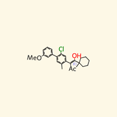 COc1cccc(-c2cc(C)c(/C(C(C)=O)=C(\O)C3(C)CCCCC3)cc2Cl)c1